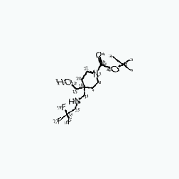 CC(C)(C)OC(=O)N1CCC(CO)(CNCC(F)(F)F)CC1